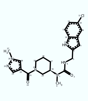 CN(C(=O)NCc1cc2cc(Cl)ccc2[nH]1)[C@@H]1CCCN(C(=O)c2cnn(C)c2)C1